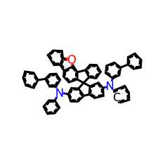 c1ccc(-c2cccc(N(c3ccccc3)c3ccc4c(c3)C3(c5cc(N(c6ccccc6)c6cccc(-c7ccccc7)c6)ccc5-4)c4ccccc4-c4c3ccc3c4oc4ccccc43)c2)cc1